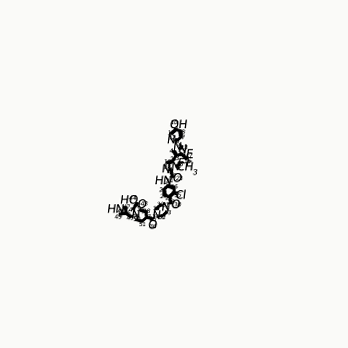 Cn1c(-c2cn(-c3ccc(O)cn3)nc2C(F)(F)F)cnc1C(=O)Nc1ccc(C(=O)N2CCN(C(=O)C3CC[N+](CC(=O)O)(CC4CNC4)CC3)CC2)c(Cl)c1